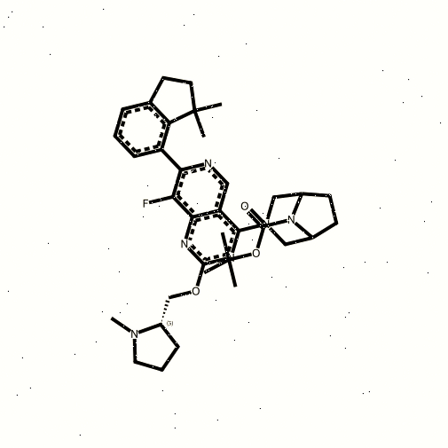 CN1CCC[C@H]1COc1nc(N2CC3CCC(C2)N3C(=O)OC(C)(C)C)c2cnc(-c3cccc4c3C(C)(C)CC4)c(F)c2n1